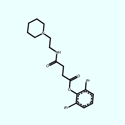 CC(C)c1cccc(C(C)C)c1OC(=O)CCC(=O)NCCN1CCCCC1